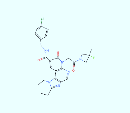 CCc1nc2cnc3c(cc(C(=O)NCc4ccc(Cl)cc4)c(=O)n3CC(=O)N3CC(C)(F)C3)c2n1CC